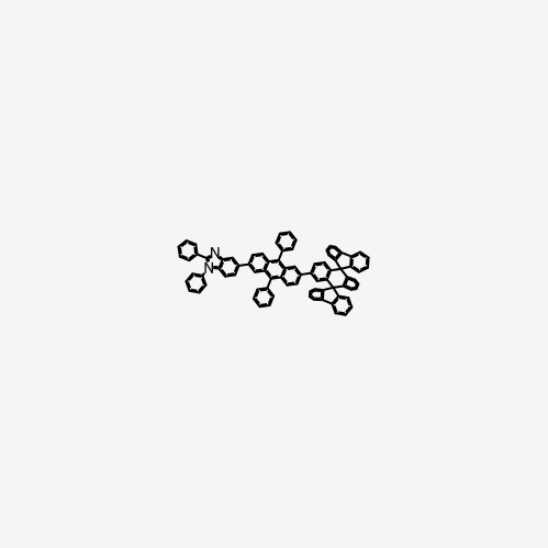 c1ccc(-c2c3ccc(-c4ccc5c(c4)nc(-c4ccccc4)n5-c4ccccc4)cc3c(-c3ccccc3)c3ccc(-c4ccc5c(c4)C4(c6ccccc6-c6ccccc64)c4ccccc4C54c5ccccc5-c5ccccc54)cc23)cc1